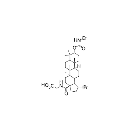 CCNC(=O)O[C@@H]1CC[C@@]2(C)C(CCC3(C)[C@@H]2CCC2C4[C@H](C(C)C)CC[C@]4(C(=O)NCC(=O)O)CC[C@]23C)C1(C)C